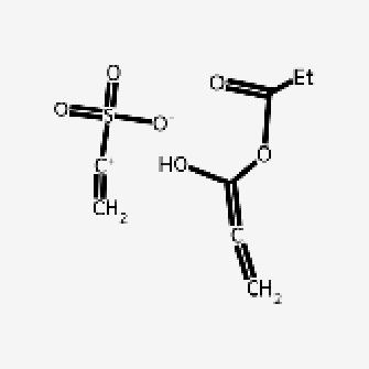 C=C=C(O)OC(=O)CC.C=[C+]S(=O)(=O)[O-]